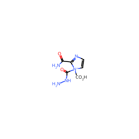 NNC(=O)[N+]1(C(=O)O)C=CN=C1C(N)=O